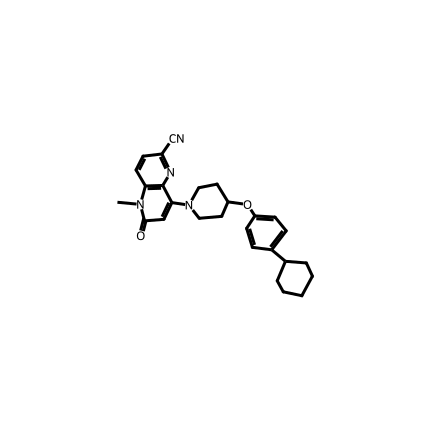 Cn1c(=O)cc(N2CCC(Oc3ccc(C4CCCCC4)cc3)CC2)c2nc(C#N)ccc21